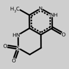 Cc1n[nH]c(=O)c2c1NS(=O)(=O)CC2